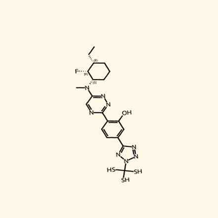 CC[C@@H]1CCC[C@H](N(C)c2cnc(-c3ccc(-c4nnn(C(S)(S)S)n4)cc3O)nn2)[C@@H]1F